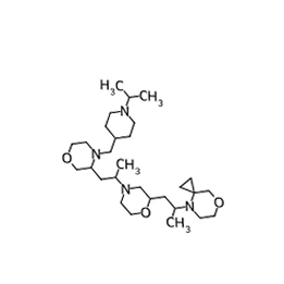 CC(C)N1CCC(CN2CCOCC2CC(C)N2CCOC(CC(C)N3CCOCC34CC4)C2)CC1